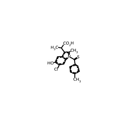 Cc1ccc(C(=S)n2c(C)c(C(C)C(=O)O)c3cc(O)c(Cl)cc32)cc1